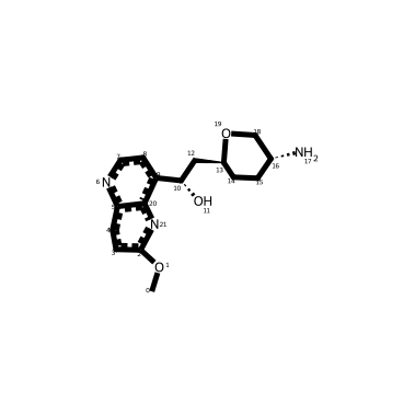 COc1ccc2nccc([C@@H](O)C[C@@H]3CC[C@@H](N)CO3)c2n1